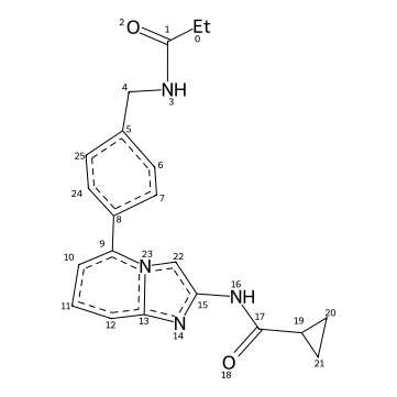 CCC(=O)NCc1ccc(-c2cccc3nc(NC(=O)C4CC4)cn23)cc1